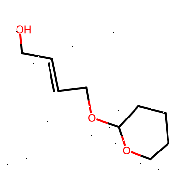 OCC=CCOC1CCCCO1